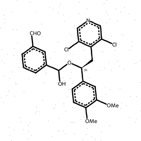 COc1ccc([C@H](Cc2c(Cl)cncc2Cl)OC(O)c2cccc(C=O)c2)cc1OC